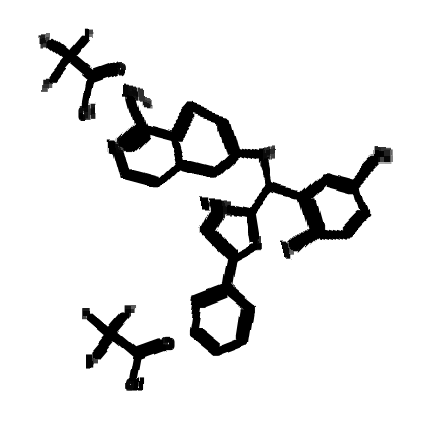 CCc1ccc(F)c([C@H](Nc2ccc3c(N)nccc3c2)c2nc(-c3ccccc3)c[nH]2)c1.O=C(O)C(F)(F)F.O=C(O)C(F)(F)F